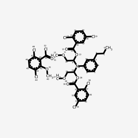 CCCc1cccc(N(C(COC)OC(=O)c2cc(Cl)ccc2Cl)C(COC)OC(=O)c2cc(Cl)ccc2Cl)c1.COc1c(Cl)ccc(Cl)c1C(=O)Cl